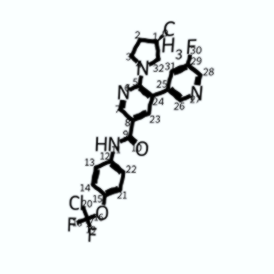 C[C@@H]1CCN(c2ncc(C(=O)Nc3ccc(OC(F)(F)Cl)cc3)cc2-c2cncc(F)c2)C1